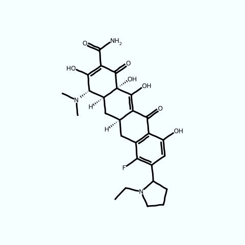 CCN1CCCC1c1cc(O)c2c(c1F)C[C@H]1C[C@H]3[C@H](N(C)C)C(O)=C(C(N)=O)C(=O)[C@@]3(O)C(O)=C1C2=O